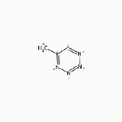 [CH2]c1cnnnn1